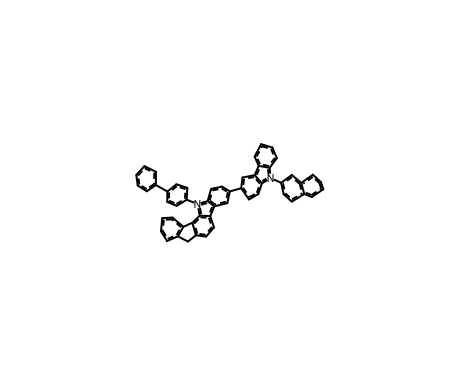 c1ccc(-c2ccc(-n3c4ccc(-c5ccc6c(c5)c5ccccc5n6-c5ccc6ccccc6c5)cc4c4ccc5c(c43)-c3ccccc3C5)cc2)cc1